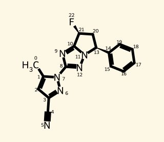 Cc1cc(C#N)nn1-c1nc2n(n1)[C@H](c1ccccc1)C[C@@H]2F